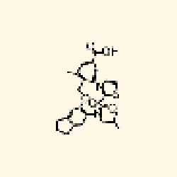 Cc1cc(C(=O)O)ccc1COc1cc2c(cc1N(CC(C)C)S(=O)(=O)c1nccs1)CCC2